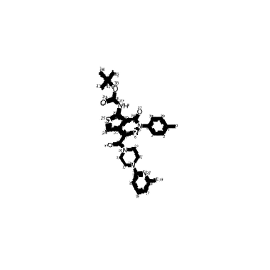 Cc1ccc(-n2nc(C(=O)N3CCN(c4cccc(F)n4)CC3)c3csc(NC(=O)OC(C)(C)C)c3c2=O)cc1